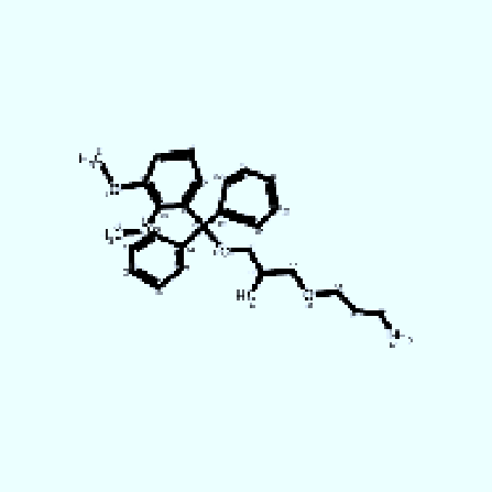 COc1cccc(C(OCC(O)COCCCN)(c2ccccc2)c2ccccc2)c1OC